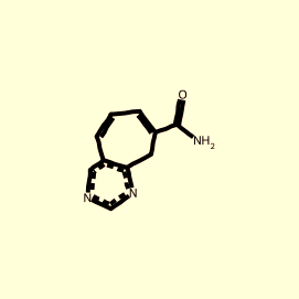 NC(=O)C1=CC=Cc2cncnc2C1